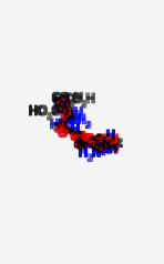 CCC(=O)NCCNC(=O)/N=C(/N)NCCC[C@@H](NC(=O)C(c1ccccc1)c1cccc(OCCCCNc2c(NCCNC(=O)[C@@H](CN)NC(=O)CN3CCN(CC(=O)O)CCN(CC(=O)O)CCN(CC(=O)O)CC3)c(=O)c2=O)c1)C(=O)NCc1ccc(O)cc1